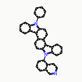 c1ccc(-n2c3ccccc3c3c4ccc5c(c4ccc32)c2ccccc2n5-c2cccc3cnccc23)cc1